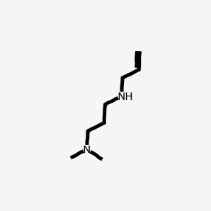 C=CCNCCCN(C)C